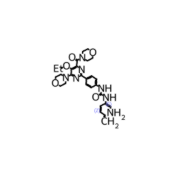 C=C/C=C\C(=C/N)NC(=O)Nc1ccc(-c2nc(C(=O)N3CCOCC3)c(OCC)c(N3CCOCC3)n2)cc1